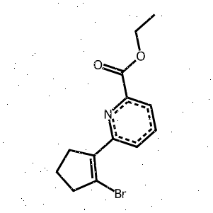 CCOC(=O)c1cccc(C2=C(Br)CCC2)n1